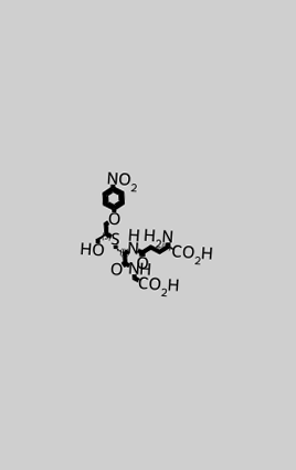 N[C@@H](CCC(=O)N[C@@H](CS[C@@H](CO)COc1ccc([N+](=O)[O-])cc1)C(=O)NCC(=O)O)C(=O)O